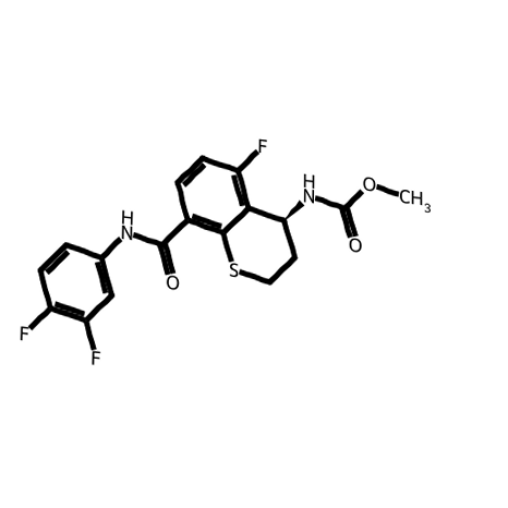 COC(=O)N[C@H]1CCSc2c(C(=O)Nc3ccc(F)c(F)c3)ccc(F)c21